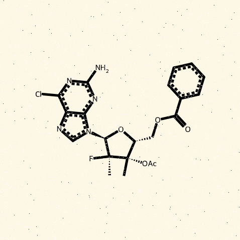 CC(=O)O[C@@]1(C)[C@@H](COC(=O)c2ccccc2)O[C@H](n2cnc3c(Cl)nc(N)nc32)[C@]1(C)F